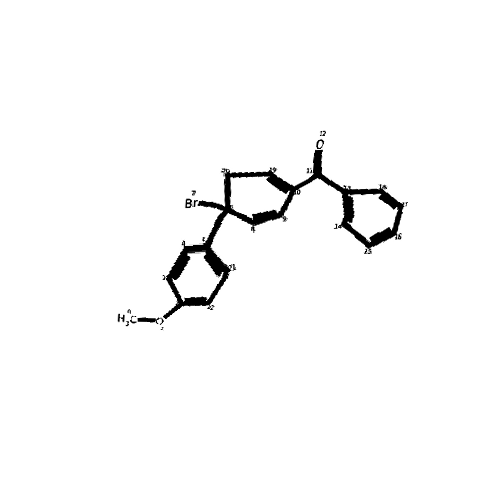 COc1ccc(C2(Br)C=CC(C(=O)c3ccccc3)=CC2)cc1